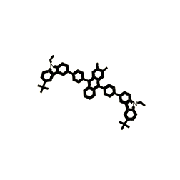 CCn1c2ccc(-c3ccc(-c4c5ccccc5c(-c5ccc(-c6ccc7c(c6)c6cc(C(C)(C)C)ccc6n7CC)cc5)c5cc(C)c(C)cc45)cc3)cc2c2cc(C(C)(C)C)ccc21